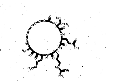 CSCCC1NC(=O)[C@H](CCCNC(=N)N)NC(=O)C(CCC(=O)O)NC(=O)[C@H]([C@@H](C)O)NC(=O)CCCCCCCNC(C)C(=O)C1=O